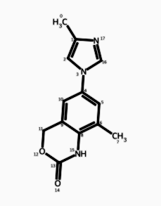 Cc1cn(-c2cc(C)c3c(c2)COC(=O)N3)cn1